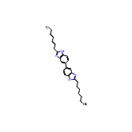 CCCCCCCc1nc2cc(-c3ccc4[nH]c(CCCCCCC)nc4c3)ccc2[nH]1